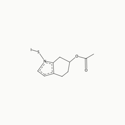 CC(=O)OC1CCc2ccn(SI)c2C1